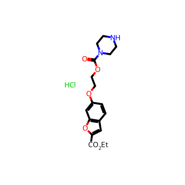 CCOC(=O)c1cc2ccc(OCCOC(=O)N3CCNCC3)cc2o1.Cl